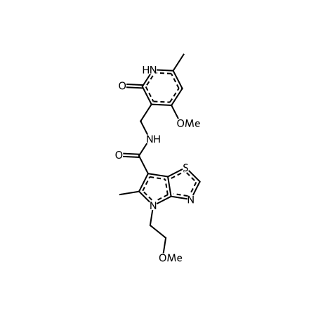 COCCn1c(C)c(C(=O)NCc2c(OC)cc(C)[nH]c2=O)c2scnc21